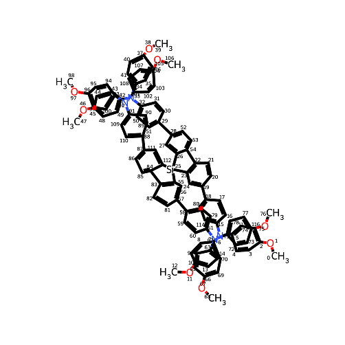 COc1ccc(N(c2ccc(OC)cc2)c2ccc(-c3ccc4c(c3)[Si]3(c5cc(-c6ccc(N(c7ccc(OC)cc7)c7ccc(OC)cc7)cc6)ccc5-4)c4cc(-c5ccc(N(c6ccc(OC)cc6)c6ccc(OC)cc6)cc5)ccc4-c4ccc(-c5ccc(N(c6ccc(OC)cc6)c6ccc(OC)cc6)cc5)cc43)cc2)cc1